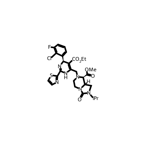 CCOC(=O)C1=C(CN2CCN3C(=O)N(C(C)C)C[C@H]3[C@@H]2C(=O)OC)NC(c2nccs2)=N[C@H]1c1cccc(F)c1Cl